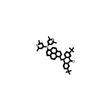 Cc1cc(N(c2cc(C)nc(C)c2)c2ccc3ccc4c(C=C5c6ccc(C(C)(C)C)cc6C(=O)c6cc(C(C)(C)C)ccc65)ccc5ccc2c3c54)cc(C)n1